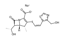 C[C@@H](O)[C@H]1C(=O)N2C(C(=O)[O-])=C(S/C=C\c3scnc3CO)[C@H](C)[C@H]12.[Na+]